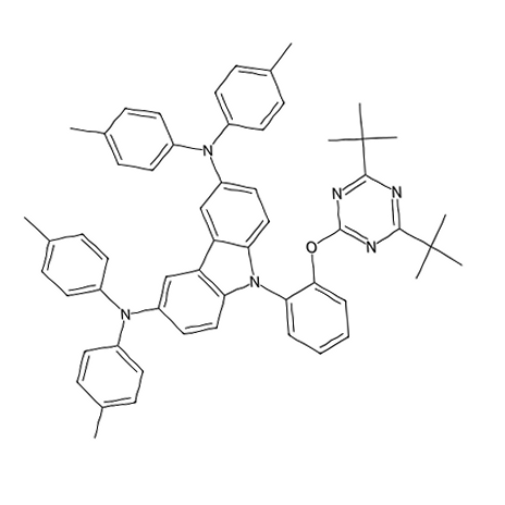 Cc1ccc(N(c2ccc(C)cc2)c2ccc3c(c2)c2cc(N(c4ccc(C)cc4)c4ccc(C)cc4)ccc2n3-c2ccccc2Oc2nc(C(C)(C)C)nc(C(C)(C)C)n2)cc1